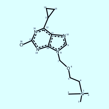 C[Si](C)(C)CCOCn1cnc2c(C3CC3)nc(Cl)nc21